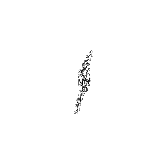 CCCC=CCOc1ccc(-c2ncc(OCCCCOCCCC)cn2)cc1